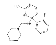 CC1=NC=CC(NCN2CCNCC2)(c2ccccc2Cl)N1